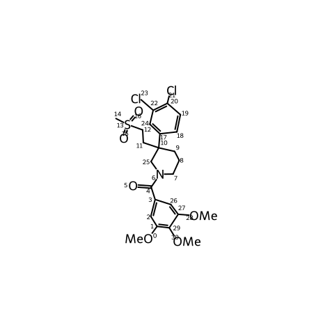 COc1cc(C(=O)N2CCCC(CCS(C)(=O)=O)(c3ccc(Cl)c(Cl)c3)C2)cc(OC)c1OC